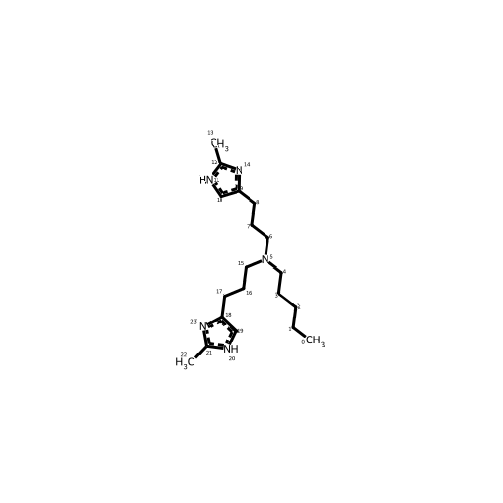 CCCCCN(CCCc1c[nH]c(C)n1)CCCc1c[nH]c(C)n1